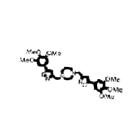 COc1cc(-c2cc(CN3CCCN(Cc4cc(-c5cc(OC)c(OC)c(OC)c5)on4)CC3)no2)cc(OC)c1OC